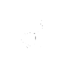 C=Cn1nnnc1C